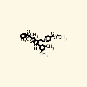 CCOC(=O)C1CCN(CCc2c(-c3cc(C)cc(C)c3)[nH]c3sc(C(C)(C)C(=O)N4C5CCC4CC5)cc23)CC1